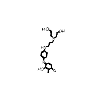 CC1=C(O)/C(=N/c2ccc(NCCCN(CCO)CCO)cc2)C=CC1=O